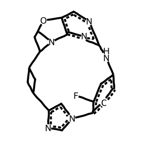 CN1c2nc3ncc2OCC1C1CC(C1)c1cn(cn1)-c1ccc(cc1F)N3